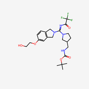 CC(C)(C)OC(=O)NCC1CCN(/C(=N\C(=O)C(F)(F)F)N2Cc3ccc(OCCO)cc3C2)C1